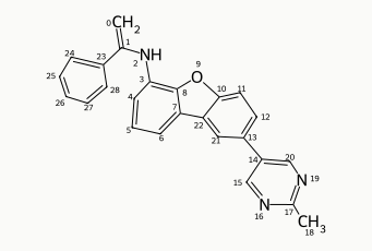 C=C(Nc1cccc2c1oc1ccc(-c3cnc(C)nc3)cc12)c1ccccc1